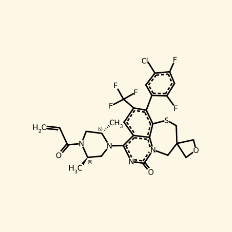 C=CC(=O)N1C[C@H](C)N(c2nc(=O)n3c4c(c(-c5cc(Cl)c(F)cc5F)c(C(F)(F)F)cc24)SCC2(COC2)C3)C[C@H]1C